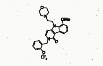 COc1cccc2c3c(=O)n(Cc4ccccc4OC(F)(F)F)ccc3n(CCN3CCOCC3)c12